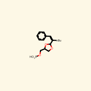 CCCCC(=Cc1ccccc1)C1OCC(COS(=O)(=O)O)O1